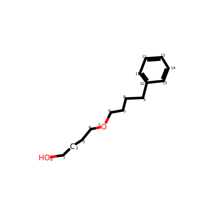 OCCCCOCCCCc1ccccc1